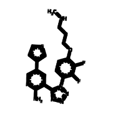 CNCCCOc1ccc(-n2nnnc2-c2cc(-c3ccsc3)cnc2N)c(F)c1F